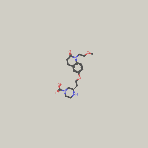 COCCN1C(=O)CCc2cc(OCC[C@@H]3CN(C(=O)O)CCN3)ccc21